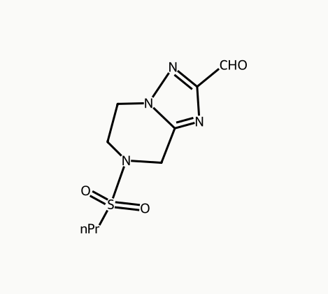 CCCS(=O)(=O)N1CCn2nc(C=O)nc2C1